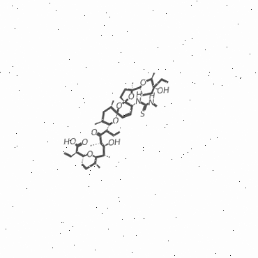 CCC(C(=O)[C@@H](C)[C@@H](O)[C@H](C)[C@@H]1O[C@@H]([C@@H](CC)C(=O)O)CC[C@@H]1C)[C@H]1O[C@]2(C=C[C@@H](NC(=S)NC)[C@]3(CC[C@@](C)([C@H]4CC[C@](O)(CC)[C@H](C)O4)O3)O2)[C@H](C)C[C@@H]1C